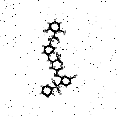 O=C(Nc1cc(Cl)ccc1S(=O)(=O)c1ccccc1)NC(Cc1ccc(NC(=O)c2c(Cl)cncc2Cl)cc1)C(=O)O